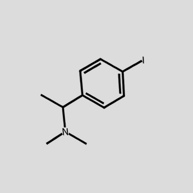 CC(c1ccc(I)cc1)N(C)C